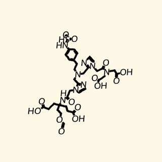 O=COCCC(CCC(=O)O)(CCC(=O)O)NC(=O)Cn1ccnc1CN(CCc1ccc(N[SH](=O)=O)cc1)Cc1nccn1CC(=O)N(CC(=O)O)CC(=O)O